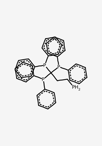 PCCC(P(c1ccccc1)c1ccccc1)(P(c1ccccc1)c1ccccc1)P(c1ccccc1)c1ccccc1